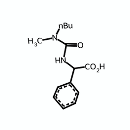 CCCCN(C)C(=O)NC(C(=O)O)c1ccccc1